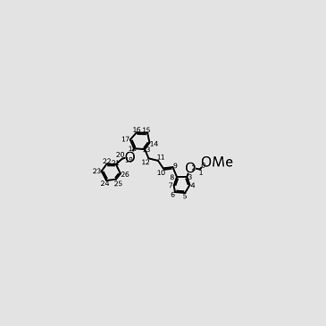 COCOc1ccccc1C=CCCc1ccccc1OCc1ccccc1